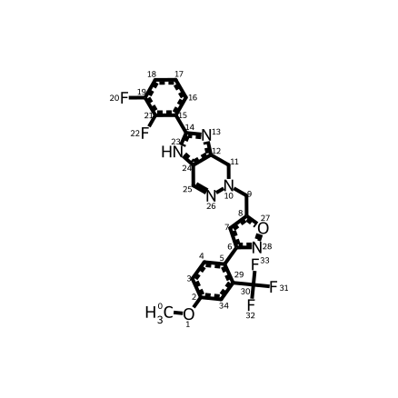 COc1ccc(-c2cc(CN3Cc4nc(-c5cccc(F)c5F)[nH]c4C=N3)on2)c(C(F)(F)F)c1